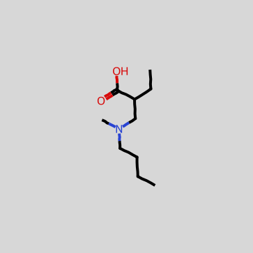 CCCCN(C)CC(CC)C(=O)O